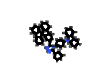 c1ccc(-c2nnc(-c3ccc4c(c3)C3(c5ccccc5-c5ccccc53)c3ccccc3-4)n2-c2ccc(-n3c4ccccc4c4ccccc43)cc2)cc1